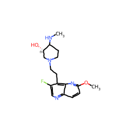 CNC1CCN(CCc2c(F)cnc3ccc(OC)nc23)C[C@@H]1O